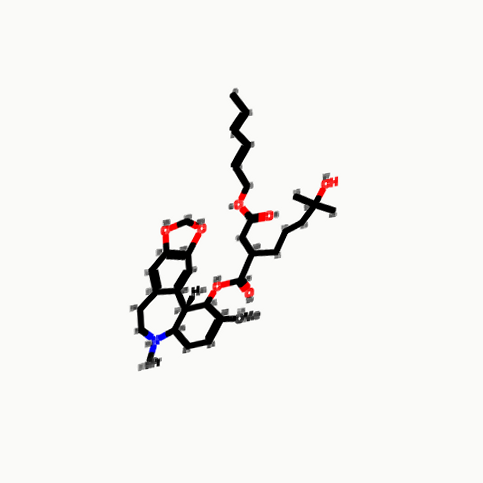 C/C=C/C=C/COC(=O)CC(CCCC(C)(C)O)C(=O)OC1C(OC)=CCC2[C@@H]1c1cc3c(cc1CCN2CCC)OCO3